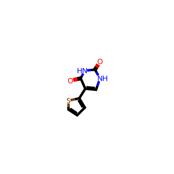 O=c1[nH]cc(-c2cccs2)c(=O)[nH]1